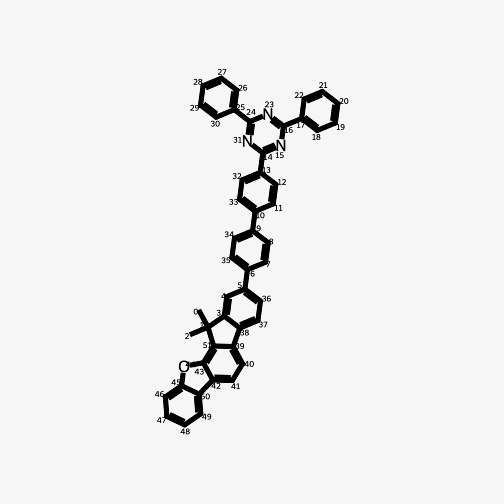 CC1(C)c2cc(-c3ccc(-c4ccc(-c5nc(-c6ccccc6)nc(-c6ccccc6)n5)cc4)cc3)ccc2-c2ccc3c(oc4ccccc43)c21